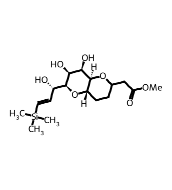 COC(=O)CC1CC[C@@H]2O[C@@H]([C@@H](O)C=C[Si](C)(C)C)[C@@H](O)[C@@H](O)[C@H]2O1